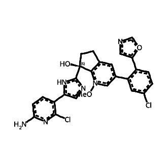 CO[n+]1cc(-c2cc(Cl)ccc2-c2cnco2)cc2c1[C@](O)(c1ncc(-c3ccc(N)nc3Cl)[nH]1)CC2